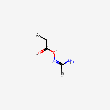 CC/C(N)=N/OC(=O)CC(C)=O